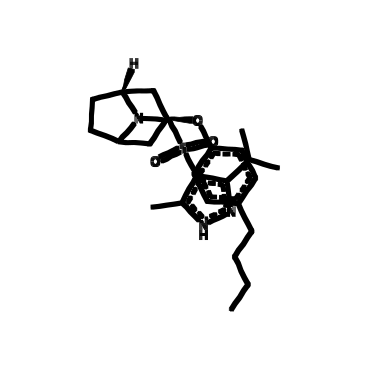 CCCCc1ccc(O[C@H]2CC3CC[C@H](C2)N3CS(=O)(=O)c2c(C(C)C)n[nH]c2C)cc1